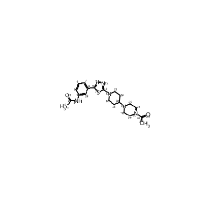 CC(=O)Nc1cccc(-c2nnc(N3CCC(N4CCN(C(C)=O)CC4)CC3)s2)c1